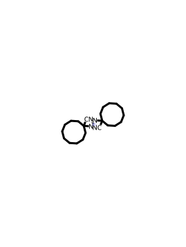 N#CC1(/N=N/C2(C#N)CCCCCCCCC2)CCCCCCCCC1